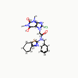 Cn1c(=O)c2c(nc(Cl)n2CC(=O)N(Cc2ccccc2)c2nc3c(s2)CCCC3)n(C)c1=O